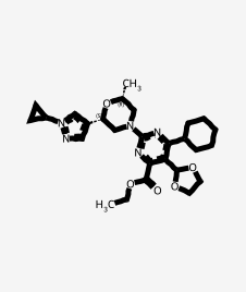 CCOC(=O)c1nc(N2C[C@@H](C)O[C@@H](c3cnn(C4CC4)c3)C2)nc(C2CCCCC2)c1C1OCCO1